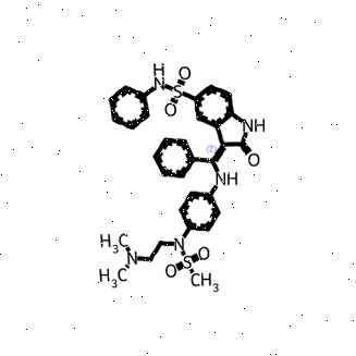 CN(C)CCN(c1ccc(N/C(=C2\C(=O)Nc3ccc(S(=O)(=O)Nc4ccccc4)cc32)c2ccccc2)cc1)S(C)(=O)=O